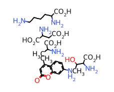 CC(N)C(=O)O.CC(O)C(N)C(=O)O.Cc1cc(=O)oc2cc(N)ccc12.NC(CC(=O)O)C(=O)O.NCCCCC(N)C(=O)O